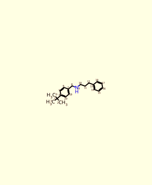 CC(C)(C)c1ccc(CNCCCc2ccccc2)cc1